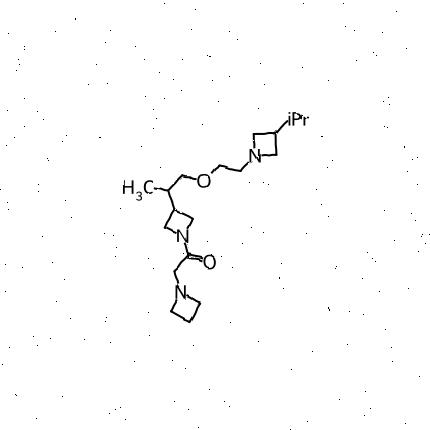 CC(C)C1CN(CCOCC(C)C2CN(C(=O)CN3CCC3)C2)C1